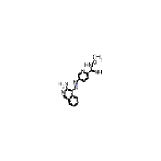 CONC(=N)c1ccc(/N=N/c2c(N)ncc3ccccc23)cn1